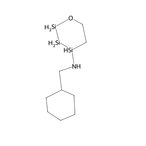 C1CCC(CN[SiH]2CCO[SiH2][SiH2]2)CC1